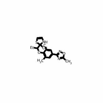 CCC(Oc1c(C)cc(-c2noc(C)n2)cc1C)C1(C)NC=CS1